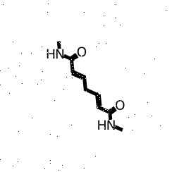 CNC(=O)C=CCC=CC(=O)NC